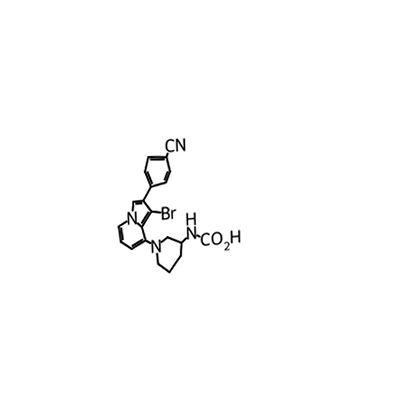 N#Cc1ccc(-c2cn3cccc(N4CCCC(NC(=O)O)C4)c3c2Br)cc1